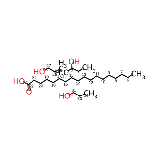 CCC(C)O.CCCCCCCCCCCCCCCCCC(=O)O.CCCO.CCCO